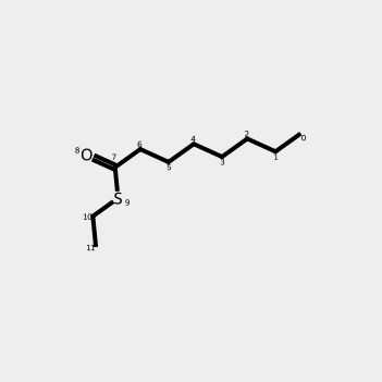 CCCCCCCC(=O)SCC